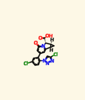 O=C(O)[C@@H]1[C@H]2C[C@H]2c2cc(-c3cc(Cl)ccc3-n3cc(Cl)nn3)cc(=O)n21